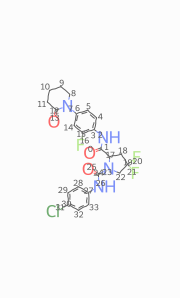 O=C(Nc1ccc(N2CCCCC2=O)cc1F)C1CC(F)(F)CN1C(=O)Nc1ccc(Cl)cc1